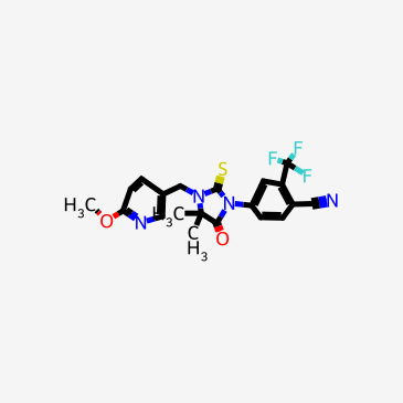 COc1ccc(CN2C(=S)N(c3ccc(C#N)c(C(F)(F)F)c3)C(=O)C2(C)C)cn1